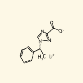 CC(c1ccccc1)n1cnc(C(=O)[O-])n1.[Li+]